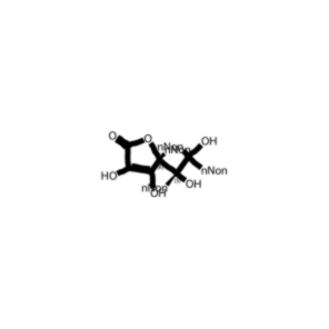 CCCCCCCCCC(O)(CCCCCCCCC)[C@@](O)(CCCCCCCCC)[C@@]1(CCCCCCCCC)OC(=O)C(O)=C1O